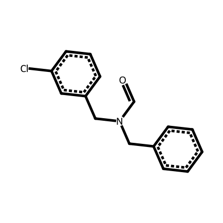 O=CN(Cc1ccccc1)Cc1cccc(Cl)c1